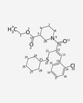 CCOC(=O)C1CCCN(C(=O)/C(=C/c2ccccc2Cl)CSC2CCCCC2)C1